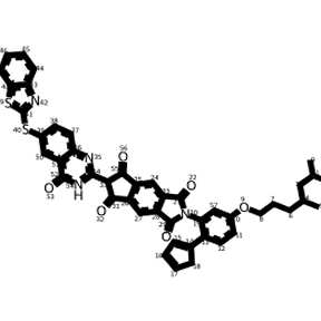 CC(C)CC(C)CCCOc1ccc(C2=CC=CC2)c(N2C(=O)c3cc4c(cc3C2=O)C(=O)C(c2nc3ccc(Sc5nc6ccccc6s5)cc3c(=O)[nH]2)C4=O)c1